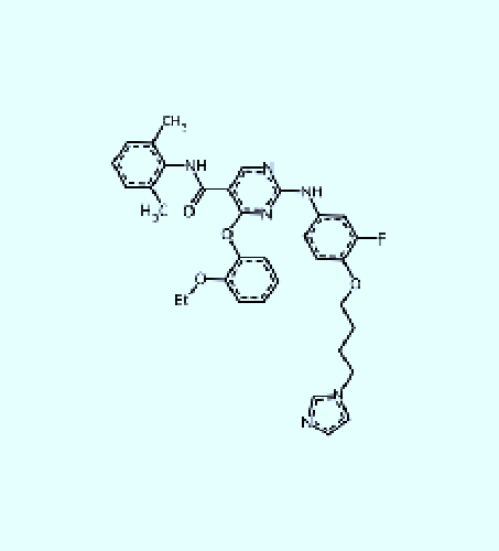 CCOc1ccccc1Oc1nc(Nc2ccc(OCCCCn3ccnc3)c(F)c2)ncc1C(=O)Nc1c(C)cccc1C